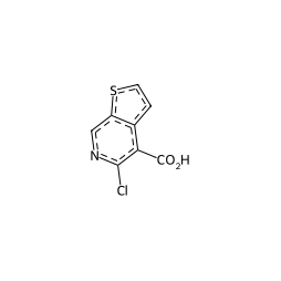 O=C(O)c1c(Cl)ncc2sccc12